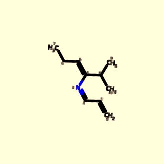 C=C/C=N\C(=C/CC)C(C)C